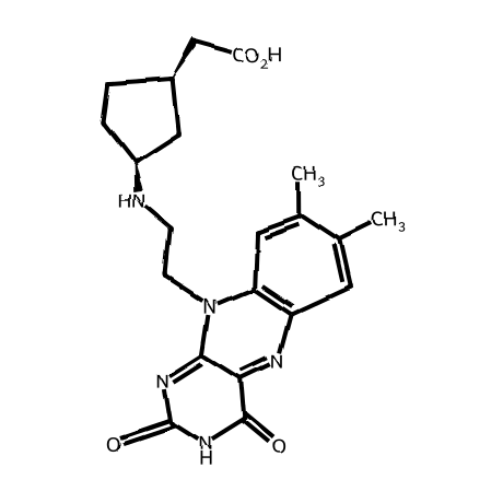 Cc1cc2nc3c(=O)[nH]c(=O)nc-3n(CCN[C@H]3CC[C@@H](CC(=O)O)C3)c2cc1C